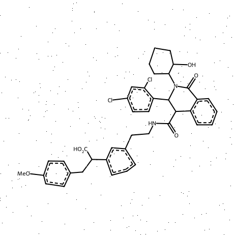 COc1ccc(CC(C(=O)O)c2cccc(CCNC(=O)C3c4ccccc4C(=O)N(C4CCCCC4O)C3c3ccc(Cl)cc3Cl)c2)cc1